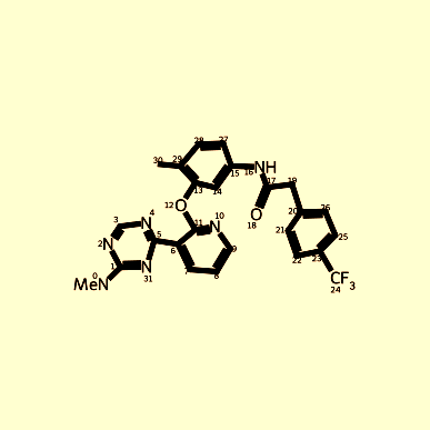 CNc1ncnc(-c2cccnc2Oc2cc(NC(=O)Cc3ccc(C(F)(F)F)cc3)ccc2C)n1